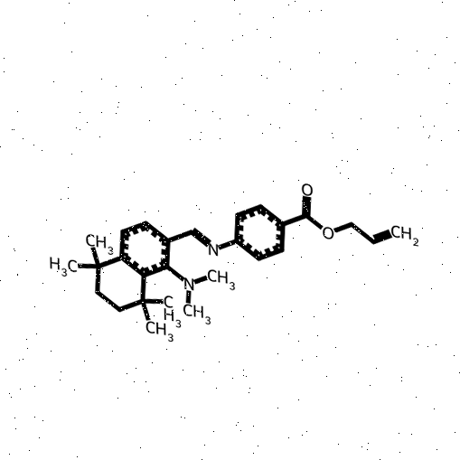 C=CCOC(=O)c1ccc(N=Cc2ccc3c(c2N(C)C)C(C)(C)CCC3(C)C)cc1